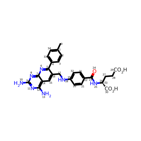 Cc1ccc(-c2nc3nc(N)nc(N)c3cc2CNc2ccc(C(=O)N[C@@H](CCC(=O)O)C(=O)O)cc2)cc1